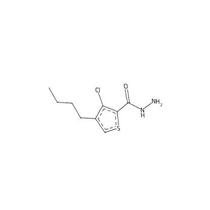 CCCCc1csc(C(=O)NN)c1Cl